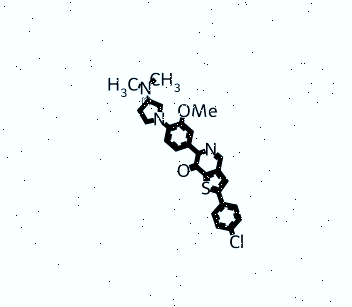 COc1cc(C2N=Cc3cc(-c4ccc(Cl)cc4)sc3C2=O)ccc1N1CC[C@H](N(C)C)C1